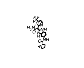 CN1CCC[C@H]1C(=O)Nc1ccc2c(c1)N/C(=C(\C(N)=O)c1nccc(C(F)(F)F)n1)N2